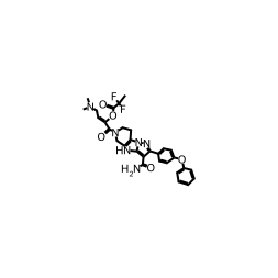 CN(C)C/C=C(\OC(=O)C(C)(F)F)C(=O)N1CCc2c([nH]c3c(C(N)=O)c(-c4ccc(Oc5ccccc5)cc4)nn23)C1